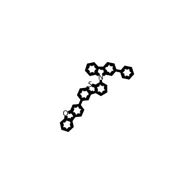 c1ccc(-c2ccc3c4ccccc4n(-c4cccc5c4sc4ccc(-c6ccc7c(c6)oc6ccccc67)cc45)c3c2)cc1